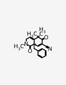 CN1CC=C2C(C)(C)C(=O)C(C#N)=C[C@]2(Cc2ccccc2)C1=O